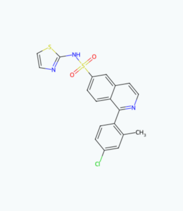 Cc1cc(Cl)ccc1-c1nccc2cc(S(=O)(=O)Nc3nccs3)ccc12